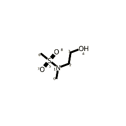 CN(CCO)S(C)(=O)=O